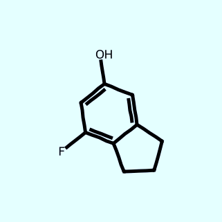 Oc1cc(F)c2c(c1)CCC2